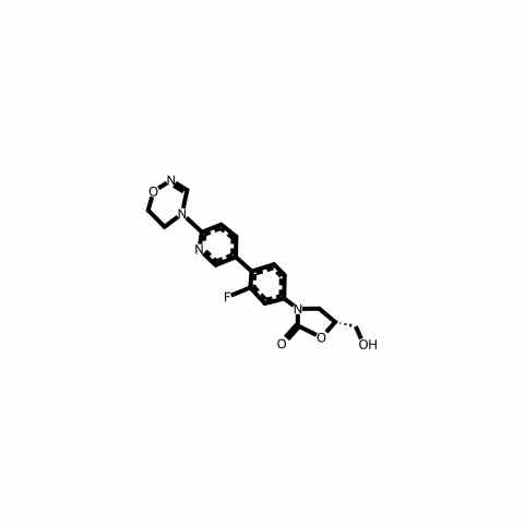 O=C1O[C@@H](CO)CN1c1ccc(-c2ccc(N3C=NOCC3)nc2)c(F)c1